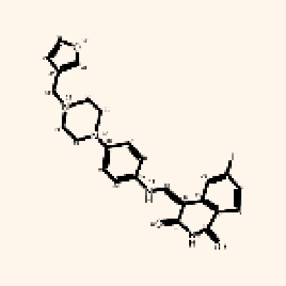 O=C1NC(=O)c2ccc(I)cc2/C1=C/Nc1ccc(N2CCN(Cc3ccoc3)CC2)cc1